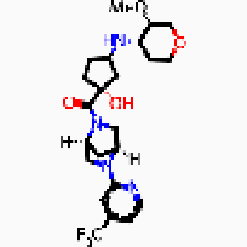 CO[C@@H]1COCC[C@@H]1N[C@@H]1CC[C@](O)(C(=O)N2C[C@@H]3C[C@H]2CN3c2cc(C(F)(F)F)ccn2)C1